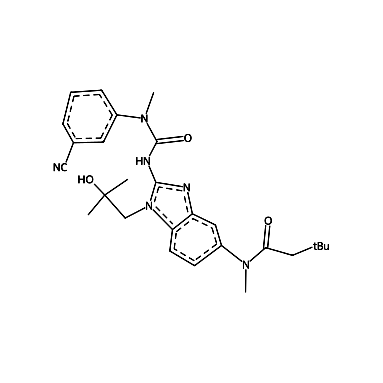 CN(C(=O)CC(C)(C)C)c1ccc2c(c1)nc(NC(=O)N(C)c1cccc(C#N)c1)n2CC(C)(C)O